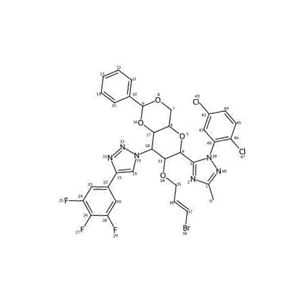 Cc1nc(C2OC3COC(c4ccccc4)OC3C(n3cc(-c4cc(F)c(F)c(F)c4)nn3)C2OC/C=C/Br)n(-c2cc(Cl)ccc2Cl)n1